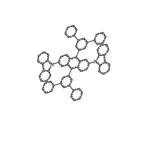 c1ccc(-c2cc(-c3ccccc3)cc(-c3c4ccc(-n5c6ccccc6c6ccccc65)cc4c(-c4cc(-c5ccccc5)cc(-c5ccccc5)c4)c4ccc(-n5c6ccccc6c6ccccc65)cc34)c2)cc1